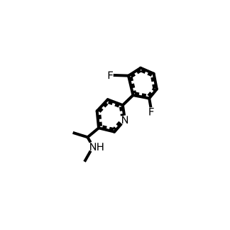 CNC(C)c1ccc(-c2c(F)cccc2F)nc1